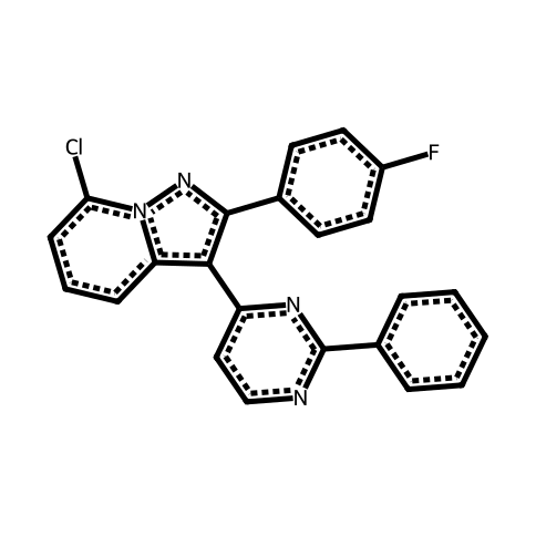 Fc1ccc(-c2nn3c(Cl)cccc3c2-c2ccnc(-c3ccccc3)n2)cc1